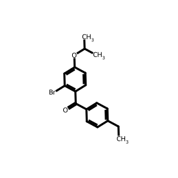 CCc1ccc(C(=O)c2ccc(OC(C)C)cc2Br)cc1